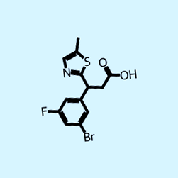 Cc1cnc(C(CC(=O)O)c2cc(F)cc(Br)c2)s1